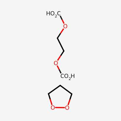 C1COOC1.O=C(O)OCCOC(=O)O